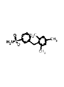 Cc1cc(C)c(Cc2cccc(S(N)(=O)=O)c2)c(C)c1